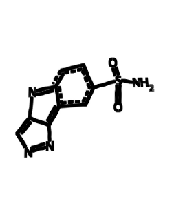 NS(=O)(=O)c1ccc2c(c1)=C1N=NC=C1N=2